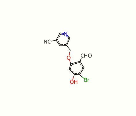 N#Cc1cncc(COc2cc(O)c(Br)cc2C=O)c1